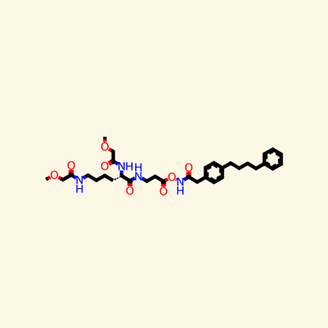 COCC(=O)NCCCC[C@H](NC(=O)COC)C(=O)NCCC(=O)ONC(=O)Cc1ccc(CCCCc2ccccc2)cc1